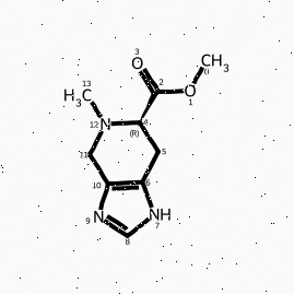 COC(=O)[C@H]1Cc2[nH]cnc2CN1C